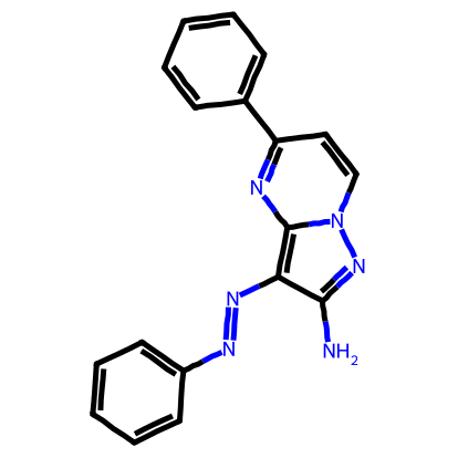 Nc1nn2ccc(-c3ccccc3)nc2c1N=Nc1ccccc1